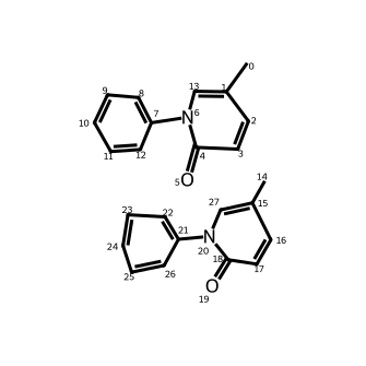 Cc1ccc(=O)n(-c2ccccc2)c1.Cc1ccc(=O)n(-c2ccccc2)c1